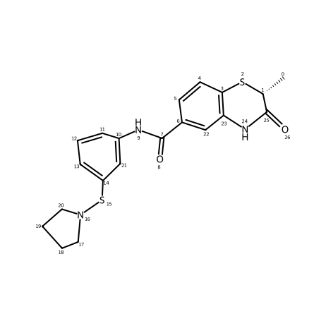 C[C@H]1Sc2ccc(C(=O)Nc3cccc(SN4CCCC4)c3)cc2NC1=O